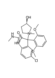 CNC(=O)[C@@H]1C[C@@H](O)C[N+]1(C)C1(c2c(OC)cccc2OC)C(=O)Nc2ccc(Cl)cc21